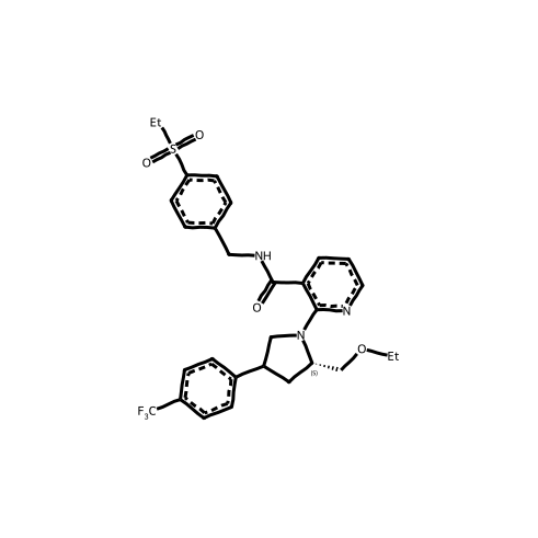 CCOC[C@@H]1CC(c2ccc(C(F)(F)F)cc2)CN1c1ncccc1C(=O)NCc1ccc(S(=O)(=O)CC)cc1